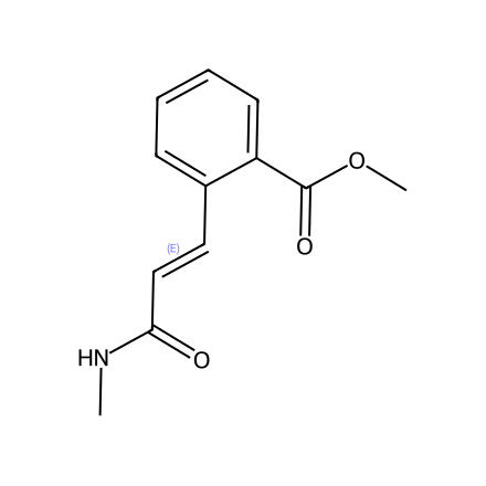 CNC(=O)/C=C/c1ccccc1C(=O)OC